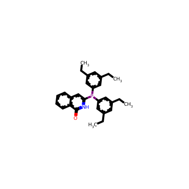 CCc1cc(CC)cc(P(c2cc(CC)cc(CC)c2)c2cc3ccccc3c(=O)[nH]2)c1